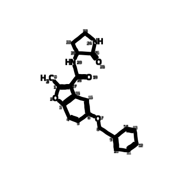 Cc1oc2ccc(OCc3ccccc3)cc2c1C(=O)NC1CCNC1=O